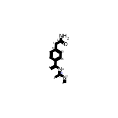 C=N/C(C)=N/C(=C)c1ccc(CC(N)=O)cc1